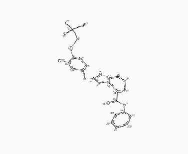 CC(F)(F)COc1ncc(Cn2cc3c(C(=O)Oc4ccccc4)nccc3n2)cc1Cl